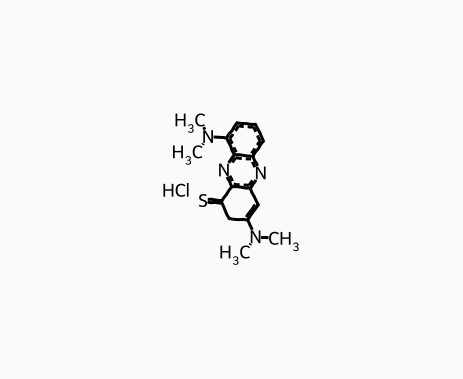 CN(C)C1=Cc2nc3cccc(N(C)C)c3nc2C(=S)C1.Cl